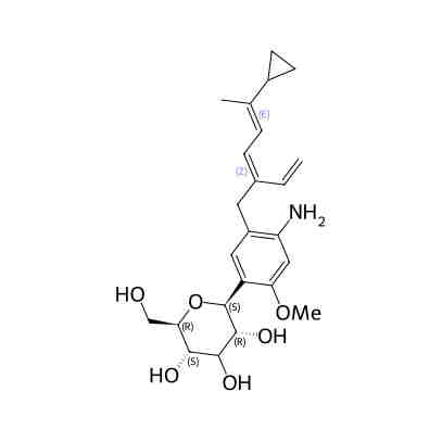 C=C/C(=C\C=C(/C)C1CC1)Cc1cc([C@@H]2O[C@H](CO)[C@@H](O)C(O)[C@H]2O)c(OC)cc1N